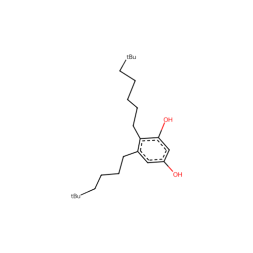 CC(C)(C)CCCCCc1c(O)cc(O)cc1CCCCC(C)(C)C